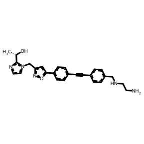 C[C@H](O)c1nccn1Cc1cc(-c2ccc(C#Cc3ccc(CNCCN)cc3)cc2)on1